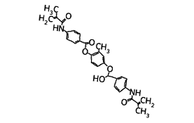 C=C(C)C(=O)Nc1ccc(C(=O)Oc2ccc(OC(O)c3ccc(NC(=O)C(=C)C)cc3)cc2C)cc1